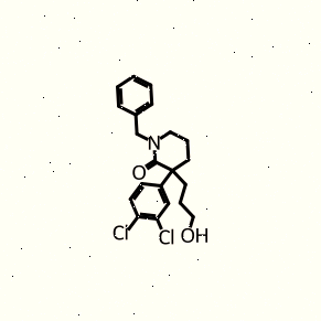 O=C1N(Cc2ccccc2)CCCC1(CCCO)c1ccc(Cl)c(Cl)c1